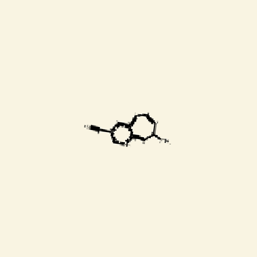 CC1C=CC=c2cc(C#N)cnc2=C1